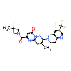 Cc1cc2nc(C(=O)N3CC(C)(F)C3)cc(=O)n2nc1N1CCc2ncc(C(F)(F)F)cc2C1